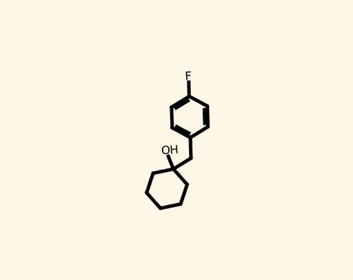 OC1(Cc2ccc(F)cc2)CCCCC1